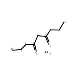 CCCC(=O)CC(=O)CCC.[AlH3]